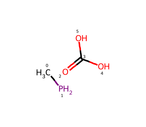 CP.O=C(O)O